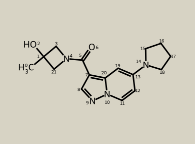 CC1(O)CN(C(=O)c2cnn3ccc(N4CCCC4)cc23)C1